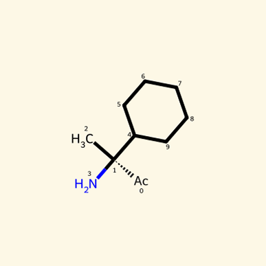 CC(=O)[C@@](C)(N)C1CCCCC1